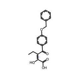 CC/C(C(=O)c1ccc(OCc2ccccc2)cc1)=C(\O)C(=O)O